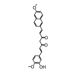 COc1ccc2cc(/C=C/C(=O)CC(=O)/C=C/c3ccc(OC)c(O)c3)ccc2c1